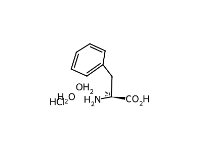 Cl.N[C@@H](Cc1ccccc1)C(=O)O.O.O